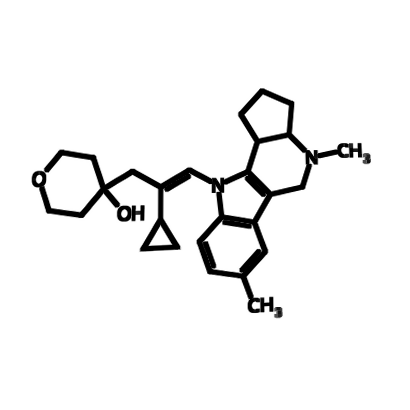 Cc1ccc2c(c1)c1c(n2/C=C(/CC2(O)CCOCC2)C2CC2)C2CCCC2N(C)C1